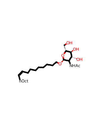 CCCCCCCC/C=C\CCCCCCCCO[C@H]1O[C@H](CO)[C@@H](O)[C@H](O)C1NC(C)=O